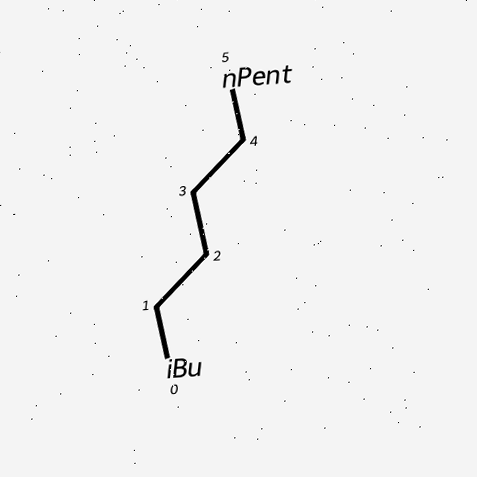 [CH2]CC(C)CCCCCCCCC